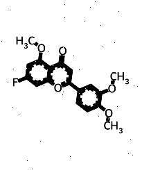 COc1ccc(-c2cc(=O)c3c(OC)cc(F)cc3o2)cc1OC